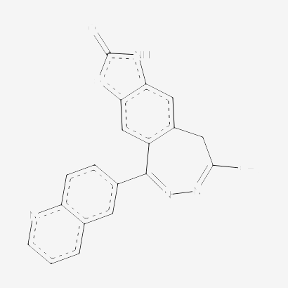 CC1=NN=C(c2ccc3ncccc3c2)c2cc3oc(=O)[nH]c3cc2C1